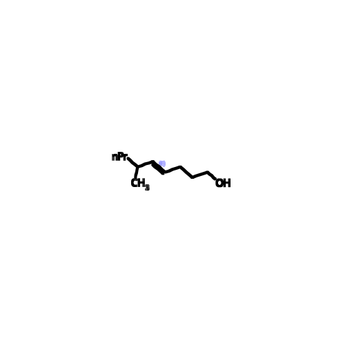 CCCC(C)/C=C/CCCO